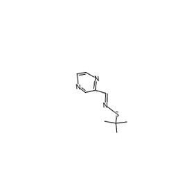 CC(C)(C)SN=Cc1cnccn1